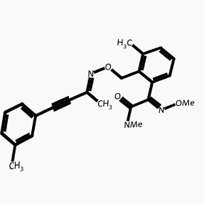 CNC(=O)/C(=N/OC)c1cccc(C)c1CO/N=C(\C)C#Cc1cccc(C)c1